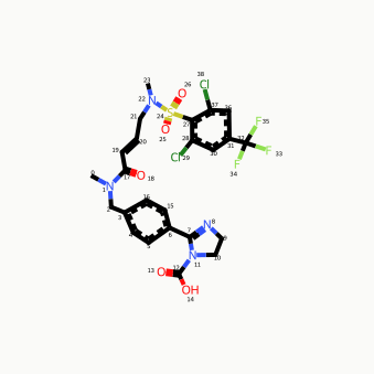 CN(Cc1ccc(C2=NCCN2C(=O)O)cc1)C(=O)/C=C/CN(C)S(=O)(=O)c1c(Cl)cc(C(F)(F)F)cc1Cl